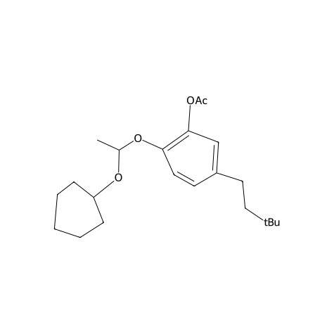 CC(=O)Oc1cc(CCC(C)(C)C)ccc1OC(C)OC1CCCCC1